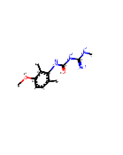 CNC(=N)NC(=O)Nc1c(C)ccc(OC)c1C